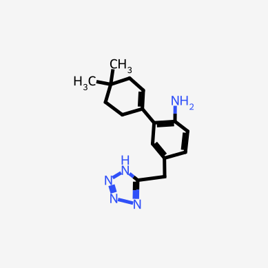 CC1(C)CC=C(c2cc(Cc3nnn[nH]3)ccc2N)CC1